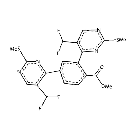 COC(=O)c1ccc(-c2nc(SC)ncc2C(F)F)cc1-c1nc(SC)ncc1C(F)F